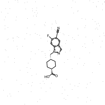 N#Cc1cc2cnn(C[C@H]3CC[C@H](C(=O)O)CC3)c2cc1F